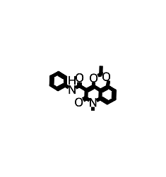 CC(=O)Oc1c(C(=O)Nc2ccccc2)c(=O)n(C)c2cccc(C)c12